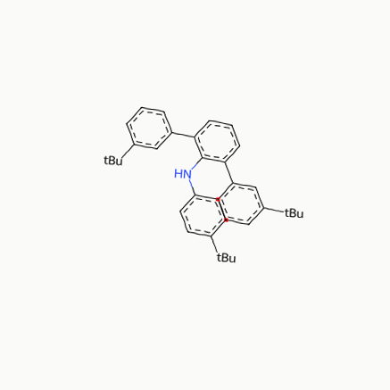 CC(C)(C)c1ccc(Nc2c(-c3cccc(C(C)(C)C)c3)cccc2-c2cccc(C(C)(C)C)c2)cc1